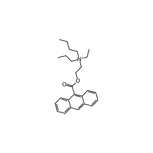 CCCC[N+](CC)(CCC)CCOC(=O)c1c2ccccc2cc2ccccc12